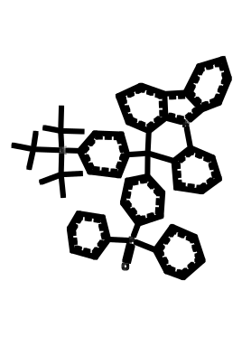 CC(C)(C)[Si](c1ccc(C2(c3ccc(P(=O)(c4ccccc4)c4ccccc4)cc3)c3ccccc3-n3c4ccccc4c4cccc2c43)cc1)(C(C)(C)C)C(C)(C)C